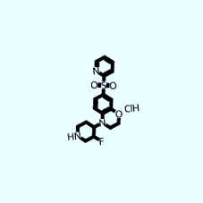 Cl.O=S(=O)(c1ccc2c(c1)OCCN2C1CCNCC1F)c1ccccn1